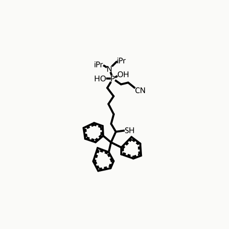 CC(C)N(C(C)C)P(O)(O)(CCC#N)CCCCCC(S)C(c1ccccc1)(c1ccccc1)c1ccccc1